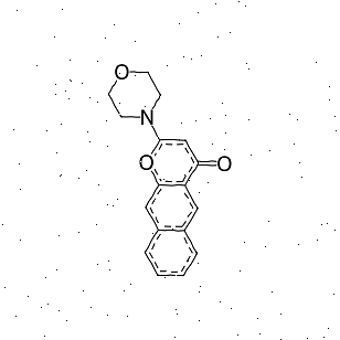 O=c1cc(N2CCOCC2)oc2cc3ccccc3cc12